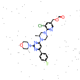 C[C@@H]1COCCN1c1nc(-c2ccc(F)cc2)cc(N2CCN(c3ncc(COC=O)cc3Cl)C[C@@H]2C)n1